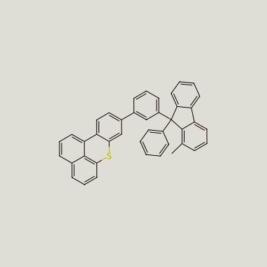 Cc1cccc2c1C(c1ccccc1)(c1cccc(-c3ccc4c(c3)Sc3cccc5cccc-4c35)c1)c1ccccc1-2